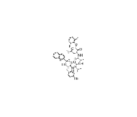 COC(=O)CC(NC(=O)C(C)NC(=O)[C@@H](NC(=O)[C@H](Cc1ccc(O)cc1)NC(=O)c1ccc2ccccc2n1)C(C)C)C(=O)COc1c(F)cccc1F